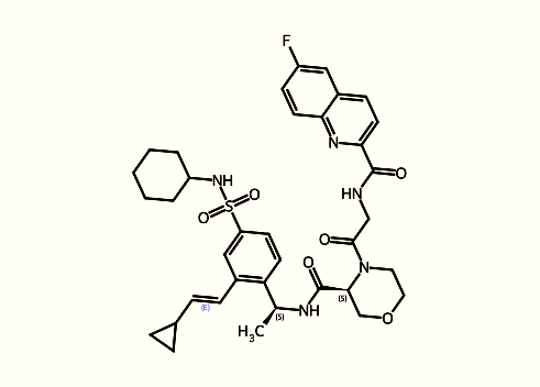 C[C@H](NC(=O)[C@@H]1COCCN1C(=O)CNC(=O)c1ccc2cc(F)ccc2n1)c1ccc(S(=O)(=O)NC2CCCCC2)cc1/C=C/C1CC1